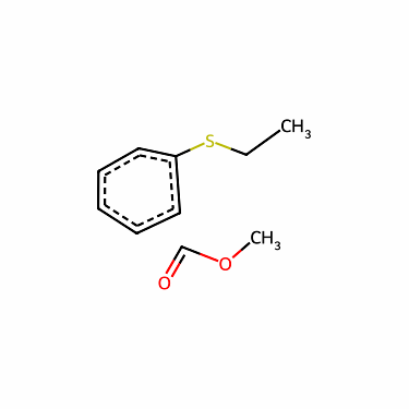 CCSc1ccccc1.COC=O